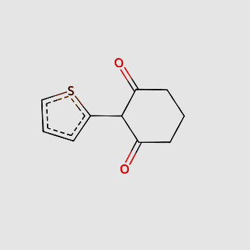 O=C1CCCC(=O)C1c1cccs1